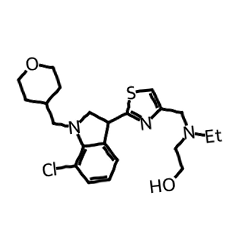 CCN(CCO)Cc1csc(C2CN(CC3CCOCC3)c3c(Cl)cccc32)n1